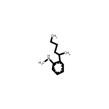 CCCCC(C)c1ccccc1NC